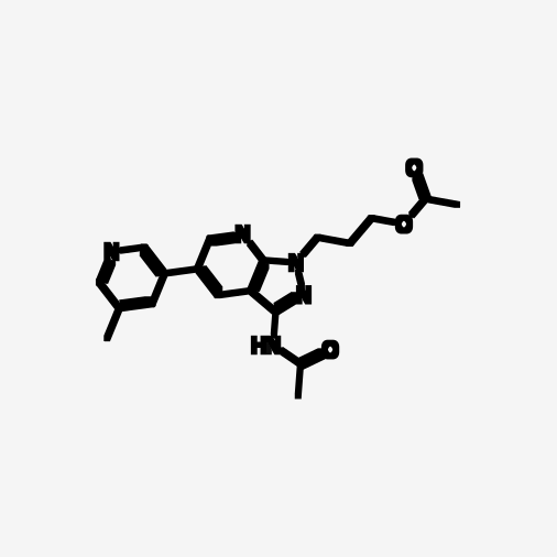 CC(=O)Nc1nn(CCCOC(C)=O)c2ncc(-c3cncc(C)c3)cc12